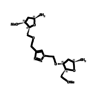 B[C@H]1C[C@@H](OC)[C@@H](COCc2cn(CO[C@@H]3C[C@H](B)O[C@@H]3COC)nn2)O1